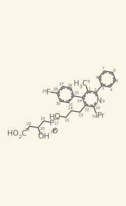 Cc1c(-c2ccccc2)nc(C(C)C)c(CCCO[PH](=O)CC(O)CC(=O)O)c1-c1ccc(F)cc1